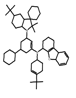 CC(C)(C)C1=CCC(N(C2=CC(N3C4CCC(C(C)(C)C)CC4C4(CCCCC4)C3(C)C)CC(C3CCCCC3)C2)C2CCCC3=C2OC2C=CC=CC32)CC1